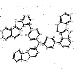 C1=CC2Sc3ccccc3C2C=C1N(c1ccc(-c2cccc3oc4c5ccccc5ccc4c23)cc1)c1ccc(-c2cccc3oc4c5ccccc5ccc4c23)cc1